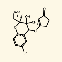 COCC1(C)Oc2ccc(Br)cc2C(OC2=CC(=O)CC2)C1(C)O